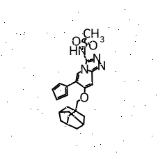 CS(=O)(=O)Nc1nnc2cc(OCC34CC5CC(CC(C5)C3)C4)c(C3=C=CC=C3)cn12